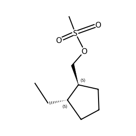 CC[C@H]1CCC[C@@H]1COS(C)(=O)=O